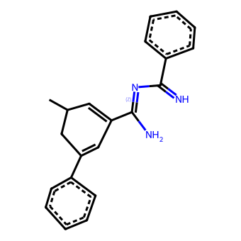 CC1C=C(/C(N)=N/C(=N)c2ccccc2)C=C(c2ccccc2)C1